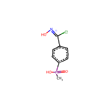 CP(=O)(O)c1ccc(/C(Cl)=N\O)cc1